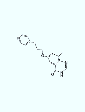 Cc1cc(OCCCc2ccncc2)cc2c(=O)[nH]cnc12